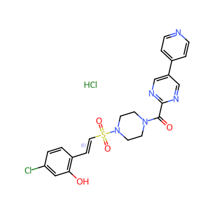 Cl.O=C(c1ncc(-c2ccncc2)cn1)N1CCN(S(=O)(=O)/C=C/c2ccc(Cl)cc2O)CC1